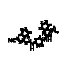 CN(C)c1nc(NC2CCC(NCCN(CCC#N)c3ccccc3)CC2)nc2c1CCCC2